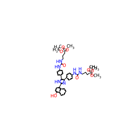 CO[Si](CCCNC(=O)Nc1ccc(-c2nc(-c3ccc(O)c4ccccc34)[nH]c2-c2ccc(NC(=O)NCCC[Si](OC)(OC)OC)cc2)cc1)(OC)OC